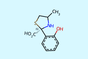 CC1CS[C@](C(=O)O)(c2ccccc2O)N1